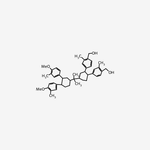 COc1ccc(C2CCC(C(C)(C)C3CCC(c4ccc(CO)c(C)c4)C(c4ccc(CO)c(C)c4)C3)CC2c2ccc(OC)c(C)c2)cc1C